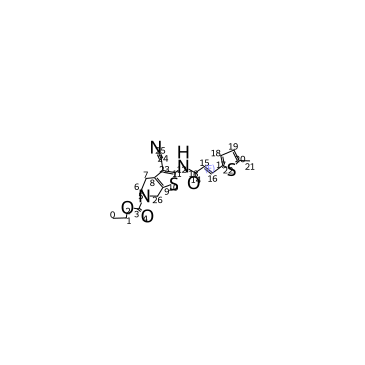 CCOC(=O)N1CCc2c(sc(NC(=O)/C=C/c3ccc(C)s3)c2C#N)C1